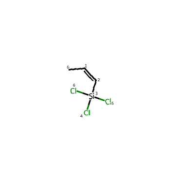 C/C=C\[Si](Cl)(Cl)Cl